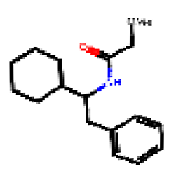 COCC(=O)NC(Cc1ccccc1)C1CCCCC1